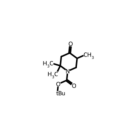 CC1CN(C(=O)OC(C)(C)C)C(C)(C)CC1=O